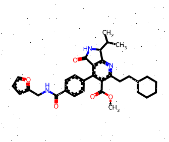 COC(=O)c1c(CCC2CCCCC2)nc2c(c1-c1ccc(C(=O)NCc3ccco3)cc1)C(=O)NC2C(C)C